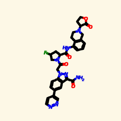 NC(=O)c1nn(CC(=O)N2CC(F)CC2C(=O)Nc2cccc3c2CCN(C2CCOC2=O)C3)c2ccc(-c3ccnnc3)cc12